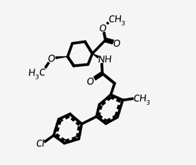 COC(=O)[C@]1(NC(=O)Cc2cc(-c3ccc(Cl)cc3)ccc2C)CC[C@@H](OC)CC1